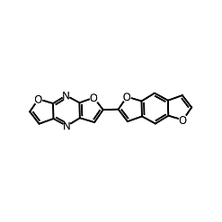 c1cc2cc3oc(-c4cc5nc6ccoc6nc5o4)cc3cc2o1